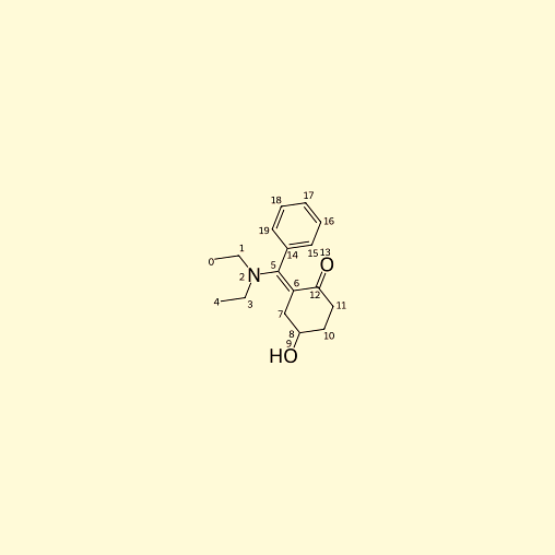 CCN(CC)C(=C1CC(O)CCC1=O)c1ccccc1